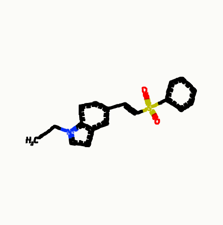 CCn1ccc2cc(C=CS(=O)(=O)c3ccccc3)ccc21